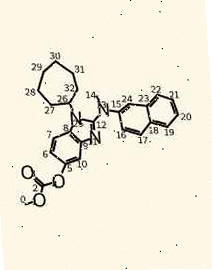 COC(=O)Oc1ccc2c(c1)nc(N(C)c1ccc3ccccc3c1)n2C1CCCCCC1